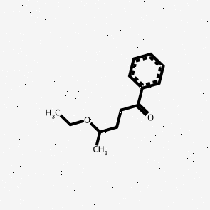 CCOC(C)CCC(=O)c1ccccc1